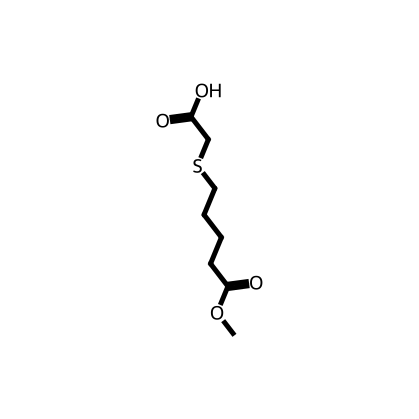 COC(=O)CCCCSCC(=O)O